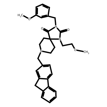 COCCN1C(=O)N(Cc2cccc(OC)c2)C(=O)C12CCN(Cc1ccc3c(c1)Cc1ccccc1-3)CC2